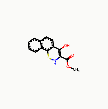 COC(=O)C1=C(O)c2ccc3ccccc3c2SN1